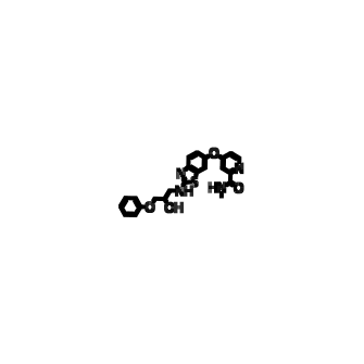 CNC(=O)c1cc(Oc2ccc3nc(NCC(O)COc4ccccc4)sc3c2)ccn1